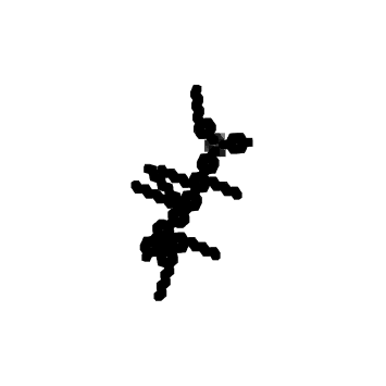 CCCCCCCCC1(CCCCCCCC)c2cc(-c3ccc4c(c3)C(c3ccc(CCCCCC)cc3)(c3ccc(CCCCCC)cc3)c3cc(C)ccc3-4)ccc2-c2ccc(-c3cc(CCCCCC)c(-c4ccc(-c5nc(-c6ccc(C)cc6)nc(-c6ccc(CCCCCC)cc6)n5)cc4)cc3CCCCCC)cc21